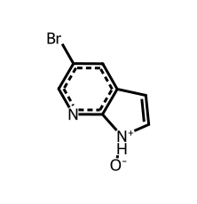 [O-][NH+]1C=Cc2cc(Br)cnc21